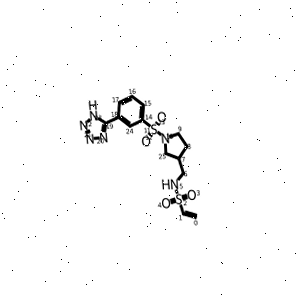 C=CS(=O)(=O)NCC1CCN(S(=O)(=O)c2cccc(-c3nnn[nH]3)c2)C1